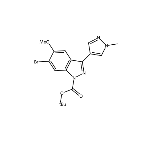 COc1cc2c(-c3cnn(C)c3)nn(C(=O)OC(C)(C)C)c2cc1Br